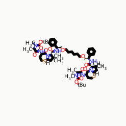 C[C@@H](C(=O)N[C@H]1CCS[C@H]2CC(C)(C)[C@@H](C(=O)N[C@H](COCCCCCCOC[C@@H](NC(=O)[C@H]3N4C(=O)[C@@H](NC(=O)[C@H](C)N(C)C(=O)OC(C)(C)C)CCS[C@H]4CC3(C)C)c3ccccc3)c3ccccc3)N2C1=O)N(C)C(=O)OC(C)(C)C